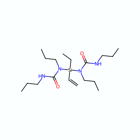 C=C[Si](CC)(N(CCC)C(=O)NCCC)N(CCC)C(=O)NCCC